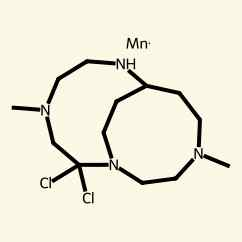 CN1CCC2CCN(CC1)C(Cl)(Cl)CN(C)CCN2.[Mn]